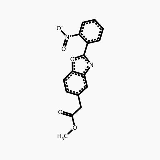 COC(=O)Cc1ccc2oc(-c3ccccc3[N+](=O)[O-])nc2c1